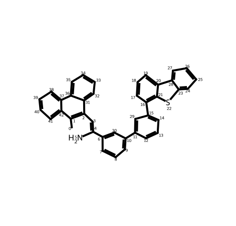 Cc1c(/C=C(\N)c2cccc(-c3cccc(-c4cccc5c4sc4ccccc45)c3)c2)c2ccccc2c2ccccc12